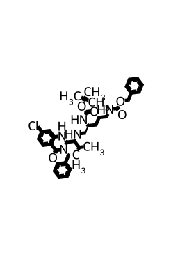 CC(C)[C@@H](NC[C@H](CCCNC(=O)OCc1ccccc1)NC(=O)OC(C)(C)C)C1Nc2cc(Cl)ccc2C(=O)N1Cc1ccccc1